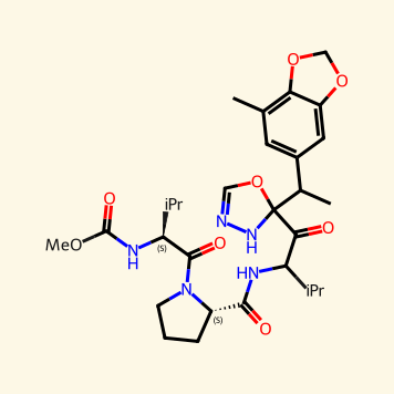 COC(=O)N[C@H](C(=O)N1CCC[C@H]1C(=O)NC(C(=O)C1(C(C)c2cc(C)c3c(c2)OCO3)NN=CO1)C(C)C)C(C)C